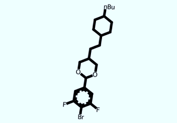 CCCCC1CCC(CCC2COC(c3cc(F)c(Br)c(F)c3)OC2)CC1